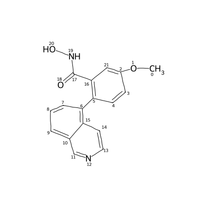 COc1ccc(-c2cccc3cnccc23)c(C(=O)NO)c1